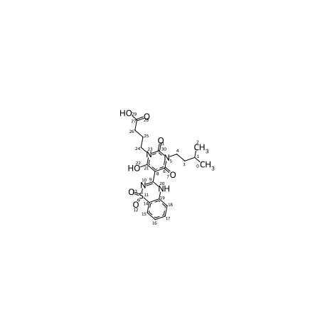 CC(C)CCn1c(=O)c(C2=NS(=O)(=O)c3ccccc3N2)c(O)n(CCCC(=O)O)c1=O